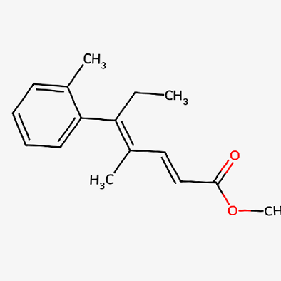 CC/C(=C(C)\C=C\C(=O)OC)c1ccccc1C